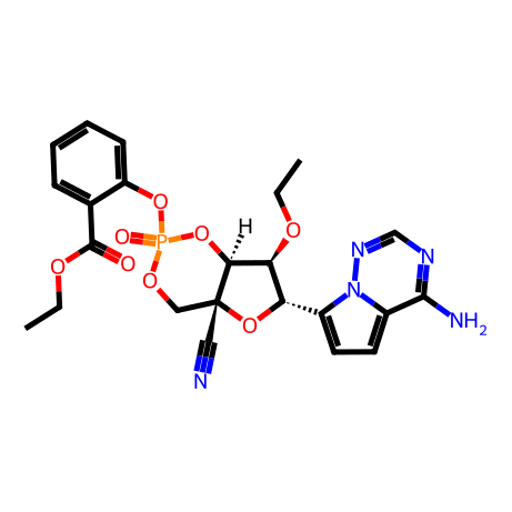 CCOC(=O)c1ccccc1OP1(=O)OC[C@@]2(C#N)O[C@@H](c3ccc4c(N)ncnn34)[C@H](OCC)[C@@H]2O1